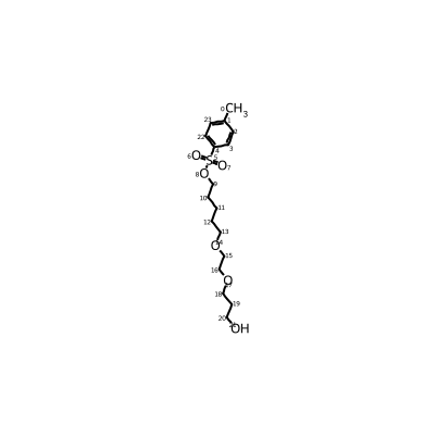 Cc1ccc(S(=O)(=O)OCCCCCOCCOCCCO)cc1